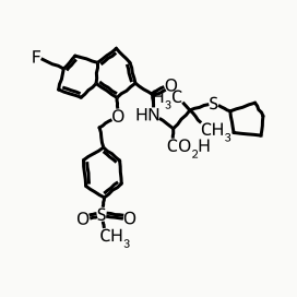 CC(C)(SC1CCCC1)C(NC(=O)c1ccc2cc(F)ccc2c1OCc1ccc(S(C)(=O)=O)cc1)C(=O)O